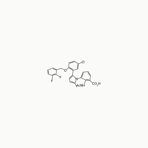 CC(=O)Nc1c(C(=O)O)cccc1-n1c(C)ccc1-c1cc(Cl)ccc1OCc1cccc(F)c1F